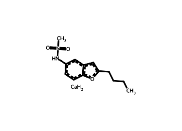 CCCCc1cc2cc(NS(C)(=O)=O)ccc2o1.[CaH2]